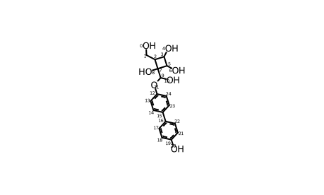 OCC1C(O)C(O)C1(O)C(O)Oc1ccc(-c2ccc(O)cc2)cc1